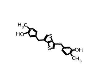 Cc1ccc(Cc2csc3c(Cc4ccc(C)c(O)c4)csc23)cc1O